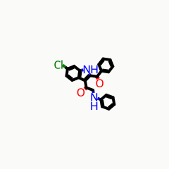 O=C(c1ccccc1)c1[nH]c2cc(Cl)ccc2c1C(=O)CNc1ccccc1